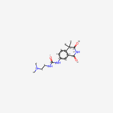 CN(C)CCNC(=O)Nc1ccc2c(c1)C(=O)NC(=O)C2(C)C